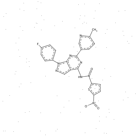 Cc1ccc(-c2nc(NC(=O)c3ccc([N+](=O)[O-])s3)c3cnn(-c4ccc(F)cc4)c3n2)cn1